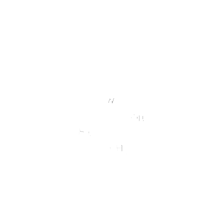 CC(C)C(O)n1cccc1